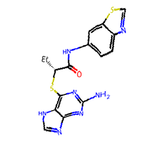 CC[C@@H](Sc1nc(N)nc2nc[nH]c12)C(=O)Nc1ccc2ncsc2c1